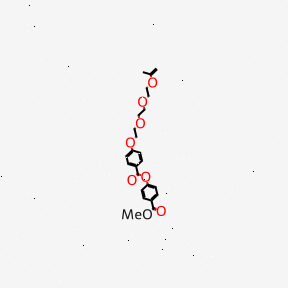 C=C(C)OCCOCCOCCOc1ccc(C(=O)Oc2ccc(C(=O)OC)cc2)cc1